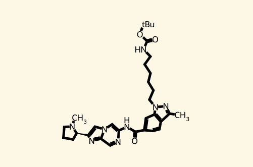 Cc1nn(CCCCCCNC(=O)OC(C)(C)C)c2cc(C(=O)Nc3cn4cc([C@H]5CCCN5C)nc4cn3)ccc12